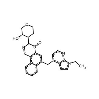 CCn1ccc2c(Cc3cc4c(c5ccccc35)C=NC([C@@H]3CCOC[C@@H]3O)[N+]4=O)ccnc21